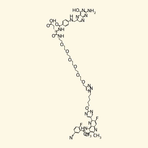 Cc1nc2cc(F)c(-c3cnc(OCCCCCn4cc(COCCOCCOCCOCCOCCOCCNC(=O)[C@H](CCC(=O)O)NC(=O)c5ccc(NCc6cnc7nc(N)nc(O)c7n6)cc5)nn4)nc3)nc2c(N[C@H](C)c2cc(C#N)ccc2F)c1Cl